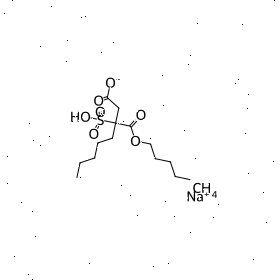 C.CCCCCOC(=O)C(CCCCC)(CC(=O)[O-])S(=O)(=O)O.[Na+]